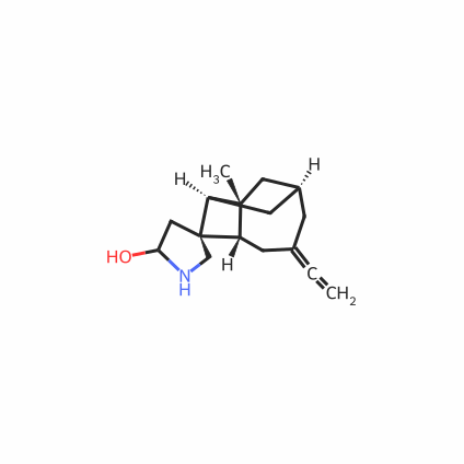 C=C=C1C[C@H]2C[C@@H]3[C@](C)(C2)[C@H](C1)[C@@]31CNC(O)C1